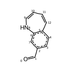 O=Cc1ccc2c(c1)NC=CC=C2